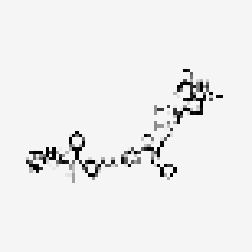 O=C(NC(c1ccccc1)c1cccc(OCc2ccc(C(=O)N(CCCNC[C@@H](O)c3ccc(O)c4[nH]c(=O)ccc34)CC3CCCC3)cc2)c1)O[C@H]1CN2CCC1CC2